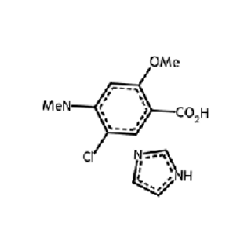 CNc1cc(OC)c(C(=O)O)cc1Cl.c1c[nH]cn1